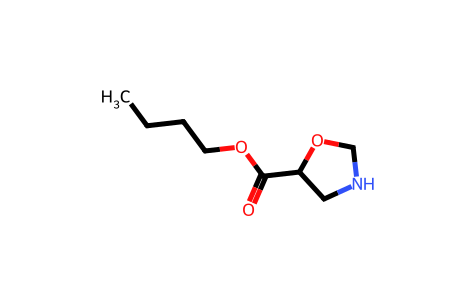 CCCCOC(=O)C1CNCO1